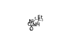 CCC(C)(C)Cc1noc(=O)[nH]1